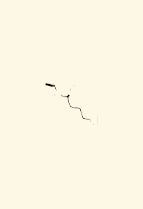 C=COC(=O)CCCCl